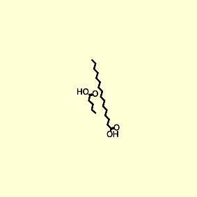 CCCCC(=O)O.CCCCCCCCCCCCCCCC(=O)O